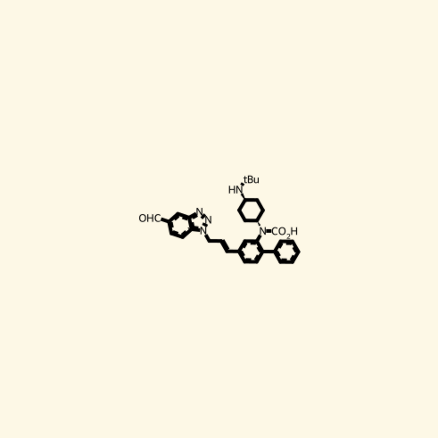 CC(C)(C)N[C@H]1CC[C@H](N(C(=O)O)c2cc(C=CCn3nnc4cc(C=O)ccc43)ccc2-c2ccccc2)CC1